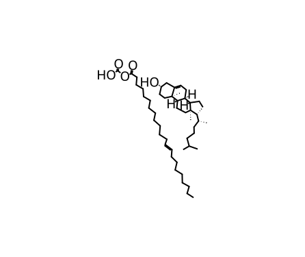 CC(C)CCC[C@@H](C)[C@H]1CC[C@H]2[C@@H]3CC=C4C[C@@H](O)CC[C@]4(C)[C@H]3CC[C@]12C.CCCCCCCCC=CCCCCCCCCCCCC(=O)OC(=O)O